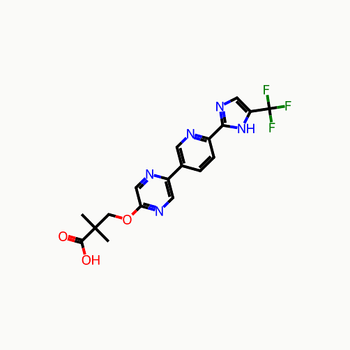 CC(C)(COc1cnc(-c2ccc(-c3ncc(C(F)(F)F)[nH]3)nc2)cn1)C(=O)O